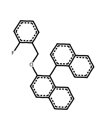 Fc1ccccc1COc1ccc2ccccc2c1-c1cccc2ccccc12